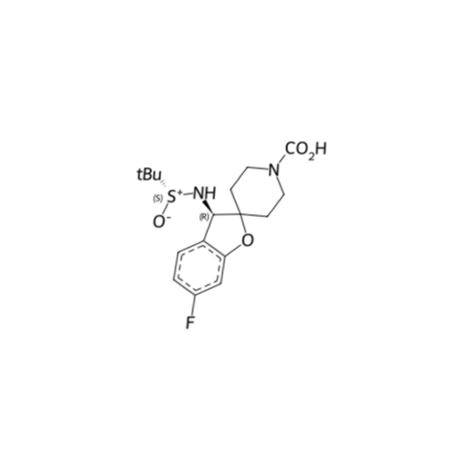 CC(C)(C)[S@@+]([O-])N[C@@H]1c2ccc(F)cc2OC12CCN(C(=O)O)CC2